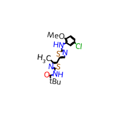 COc1ccc(Cl)cc1Nc1ncc(-c2sc(NC(=O)C(C)(C)C)nc2C)s1